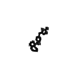 O=C1N=C(Cc2ccc(Nc3ncnc4ccccc34)cc2)CO1